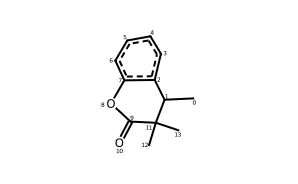 CC1c2ccccc2OC(=O)C1(C)C